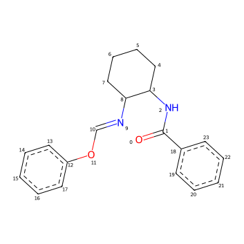 O=C(NC1CCCCC1N=COc1ccccc1)c1ccccc1